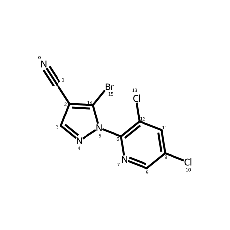 N#Cc1cnn(-c2ncc(Cl)cc2Cl)c1Br